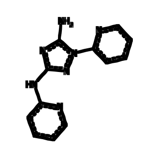 Nc1nc(Nc2ccccn2)nn1-c1ccccn1